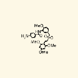 COc1cc(OC)c(C=CS(=O)(=O)Cc2ccc(OC)c(NC(=O)c3ccc(N)cc3)c2)c(OC)c1